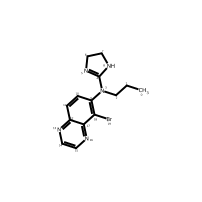 CCCN(C1=NCCN1)c1ccc2nccnc2c1Br